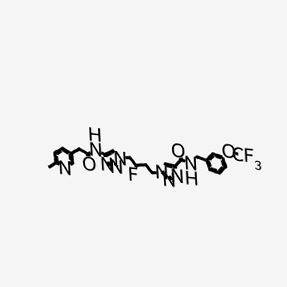 Cc1ccc(CC(=O)Nc2cn(CC(F)CCn3cc(C(=O)NCc4cccc(OC(F)(F)F)c4)nn3)nn2)cn1